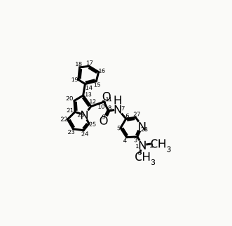 CN(C)c1ccc(NC(=O)C(=O)c2c(-c3ccccc3)cc3ccccn23)cn1